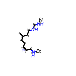 CCNC/C=C\CCC(C)CCNCNCC